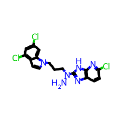 NN(CCCn1ccc2c(Cl)cc(Cl)cc21)c1nc2ccc(Cl)nc2[nH]1